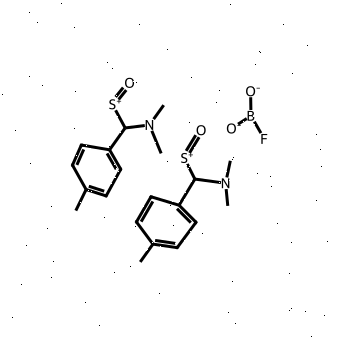 Cc1ccc(C([S+]=O)N(C)C)cc1.Cc1ccc(C([S+]=O)N(C)C)cc1.[O-]B([O-])F